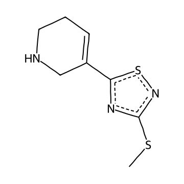 CSc1nsc(C2=CCCNC2)n1